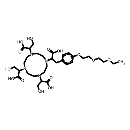 CCOCCOCCOc1ccc(CC(C(=O)O)N2CCN(C(CO)C(=O)O)CCN(C(CO)C(=O)O)CCN(C(CO)C(=O)O)CC2)cc1